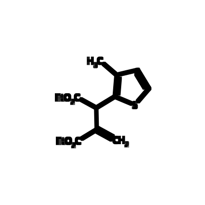 C=C(C(=O)OCC)C(C(=O)OCC)c1sccc1C